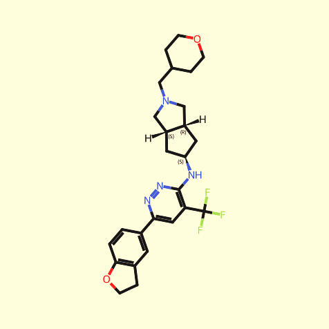 FC(F)(F)c1cc(-c2ccc3c(c2)CCO3)nnc1N[C@H]1C[C@@H]2CN(CC3CCOCC3)C[C@@H]2C1